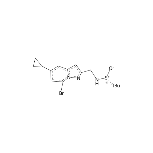 CC(C)(C)[S@@+]([O-])NCc1cc2cc(C3CC3)cc(Br)n2n1